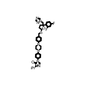 CC(C)n1ncn(-c2ccc(N3CCN(c4ccc(CSC5CCC(Cn6cncn6)(c6ccc(F)cc6F)O5)cc4)CC3)cc2)c1=O